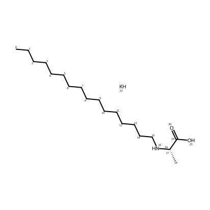 CCCCCCCCCCCCCCCCN[C@@H](C)C(=O)O.[KH]